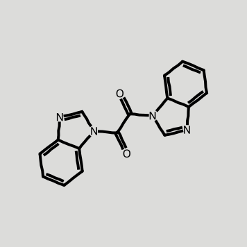 O=C(C(=O)n1cnc2ccccc21)n1cnc2ccccc21